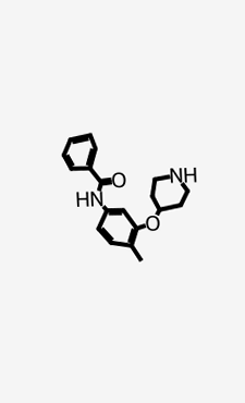 Cc1ccc(NC(=O)c2ccccc2)cc1OC1CCNCC1